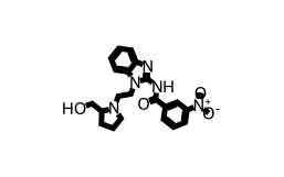 O=C(Nc1nc2ccccc2n1CCN1CCCC1CO)c1cccc([N+](=O)[O-])c1